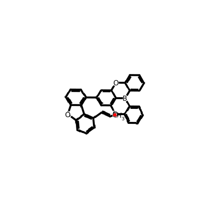 C/C=C/c1cccc2oc3cccc(-c4cc5c6c(c4)Oc4ccccc4B6c4ccccc4O5)c3c12